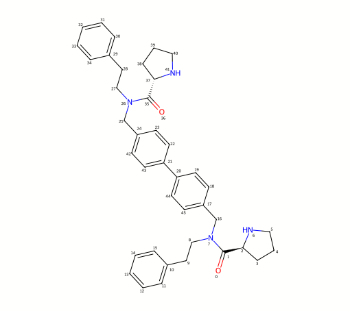 O=C([C@@H]1CCCN1)N(CCc1ccccc1)Cc1ccc(-c2ccc(CN(CCc3ccccc3)C(=O)[C@@H]3CCCN3)cc2)cc1